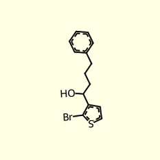 OC(CCCc1ccccc1)c1ccsc1Br